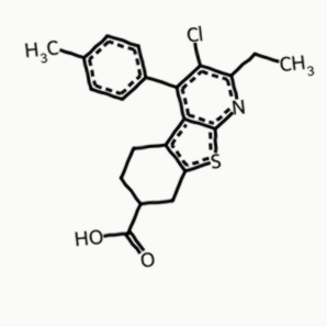 CCc1nc2sc3c(c2c(-c2ccc(C)cc2)c1Cl)CCC(C(=O)O)C3